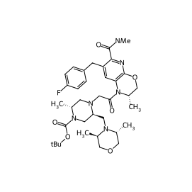 CNC(=O)c1nc2c(cc1Cc1ccc(F)cc1)N(C(=O)CN1C[C@@H](C)N(C(=O)OC(C)(C)C)C[C@@H]1CN1[C@H](C)COC[C@H]1C)[C@@H](C)CO2